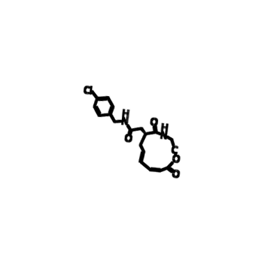 O=C(C[C@@H]1C/C=C/C=C\C(=O)OCCNC1=O)NCc1ccc(Cl)cc1